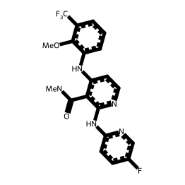 CNC(=O)c1c(Nc2cccc(C(F)(F)F)c2OC)ccnc1Nc1ccc(F)cn1